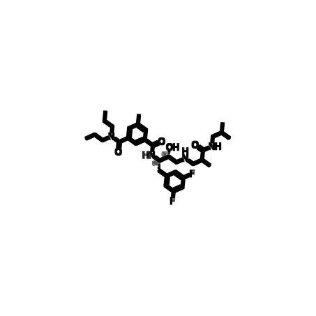 CCCN(CCC)C(=O)c1cc(C)cc(C(=O)N[C@@H](Cc2cc(F)cc(F)c2)[C@H](O)CNCC(C)C(=O)NCC(C)C)c1